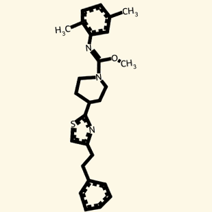 CO/C(=N\c1cc(C)ccc1C)N1CCC(c2nc(CCc3ccccc3)cs2)CC1